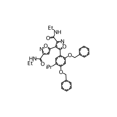 CCNC(=O)c1cc(-c2c(C(=O)NCC)noc2-c2cc(C(C)C)c(OCc3ccccc3)cc2OCc2ccccc2)on1